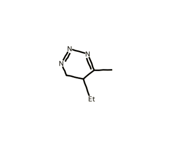 CCC1CN=NN=C1C